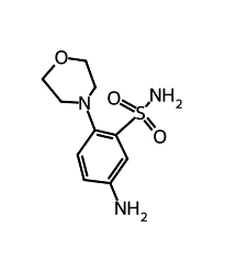 Nc1ccc(N2CCOCC2)c(S(N)(=O)=O)c1